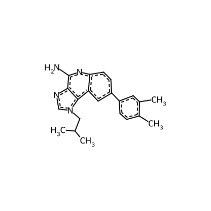 Cc1ccc(-c2ccc3nc(N)c4ncn(CC(C)C)c4c3c2)cc1C